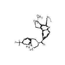 CCN(Cc1ccc(C(F)(F)F)cn1)C(=O)c1ccc2nc(N)c3c(c2c1)CO[C@@H]3C